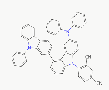 N#Cc1ccc(-n2c3ccc(N(c4ccccc4)c4ccccc4)cc3c3c(-c4ccc5c6ccccc6n(-c6ccccc6)c5c4)cccc32)c(C#N)c1